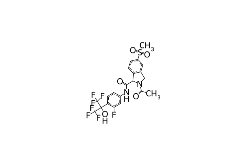 CC(=O)N1Cc2cc(S(C)(=O)=O)ccc2C1C(=O)Nc1ccc(C(O)(C(F)(F)F)C(F)(F)F)c(F)c1